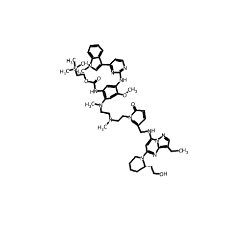 CCc1cnn2c(NCc3ccc(=O)n(CCN(C)CCN(C)c4cc(OC)c(Nc5nccc(-c6cn(C)c7ccccc67)n5)cc4NC(=O)OCC[Si](C)(C)C)c3)cc(N3CCCC[C@H]3CCO)nc12